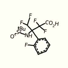 CC(C)(C)[S@@+]([O-])NC(c1ccccc1F)(C(F)F)C(F)(F)C(=O)O